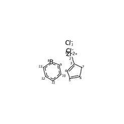 [Cl-].[Cl-].[Zr+2][C]1=CC=CC1.b1ccccc1